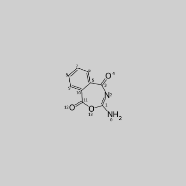 Nc1nc(=O)c2ccccc2c(=O)o1